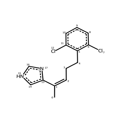 CC(=CCCc1c(Cl)cccc1Cl)c1c[nH]cn1